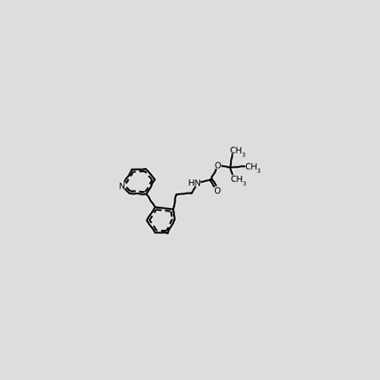 CC(C)(C)OC(=O)NCCc1ccccc1-c1cccnc1